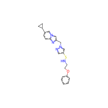 c1ccc(OCCNSc2cnn(Cc3cn4cc(C5CC5)ccc4n3)c2)cc1